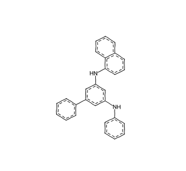 c1ccc(Nc2cc(Nc3cccc4ccccc34)cc(-c3ccccc3)c2)cc1